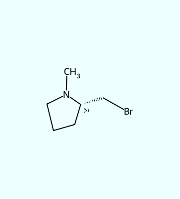 CN1CCC[C@H]1CBr